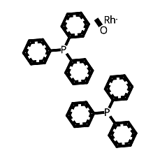 C=O.[Rh].c1ccc(P(c2ccccc2)c2ccccc2)cc1.c1ccc(P(c2ccccc2)c2ccccc2)cc1